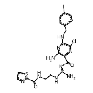 N/C(=N\C(=O)c1nc(Cl)c(NCc2ccc(I)cc2)nc1N)NCCNC(=O)c1nccs1